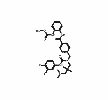 CN(C)CC(C)(C)CN(Cc1ccc(C(=O)Nc2ccccc2NC(=O)OC(C)(C)C)cc1)C(=O)Nc1ccc(F)c(F)c1